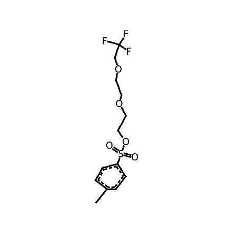 Cc1ccc(S(=O)(=O)OCCOCCOCC(F)(F)F)cc1